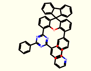 c1ccc(-c2nc(-c3ccccc3)nc(-c3cccc4c3Oc3c(-c5ccc(-c6ccccn6)cc5)cccc3C43c4ccccc4-c4ccccc43)n2)cc1